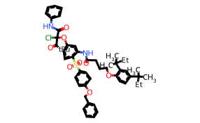 CCC(C)(C)c1ccc(OCCCC(=O)Nc2cc(OC(Cl)(C(=O)Nc3ccccc3)C(=O)C(C)(C)C)ccc2S(=O)(=O)c2ccc(OCc3ccccc3)cc2)c(C(C)(C)CC)c1